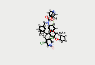 COc1ccc([C@@H](Cc2c(Cl)c[n+]([O-])cc2Cl)c2cc(CN(C(=O)O[C@H]3CN4CCC3CC4)c3ccccc3F)ccc2C(=O)O)cc1OC1CCCC1